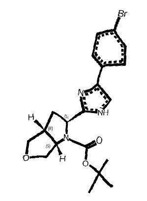 CC(C)(C)OC(=O)N1[C@@H]2COC[C@@H]2C[C@H]1c1nc(-c2ccc(Br)cc2)c[nH]1